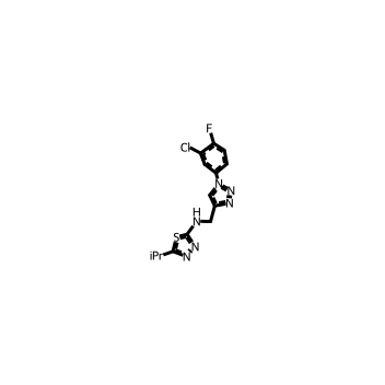 CC(C)c1nnc(NCc2cn(-c3ccc(F)c(Cl)c3)nn2)s1